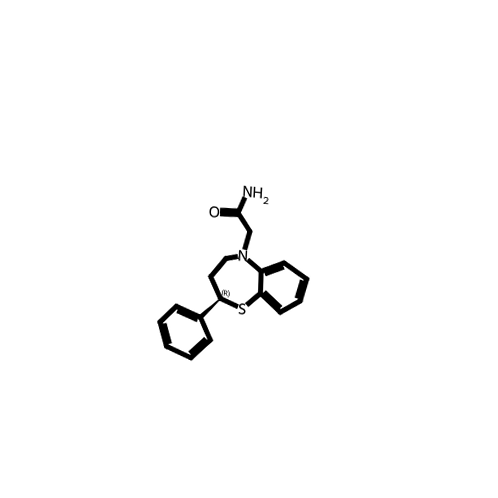 NC(=O)CN1CC[C@H](c2ccccc2)Sc2ccccc21